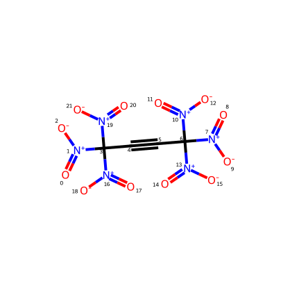 O=[N+]([O-])C(C#CC([N+](=O)[O-])([N+](=O)[O-])[N+](=O)[O-])([N+](=O)[O-])[N+](=O)[O-]